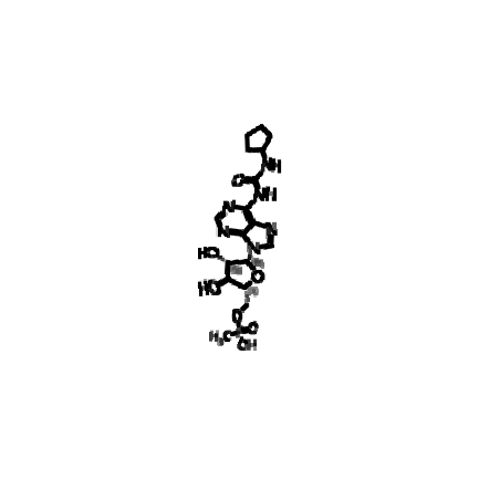 CP(=O)(O)OC[C@H]1O[C@@H](n2cnc3c(NC(=O)NC4CCCC4)ncnc32)[C@@H](O)C1O